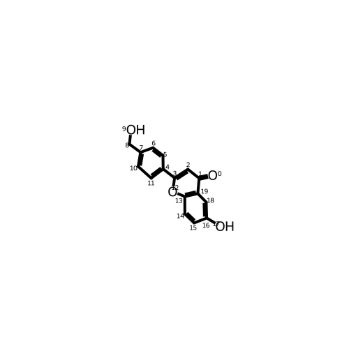 O=c1cc(-c2ccc(CO)cc2)oc2ccc(O)cc12